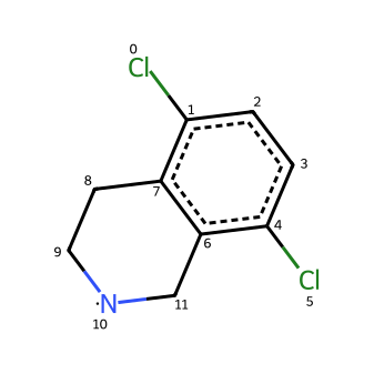 Clc1ccc(Cl)c2c1CC[N]C2